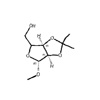 CO[C@@H]1OC(CO)[C@H]2OC(C)(C)O[C@@H]12